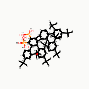 CC(C)(C)c1ccc(-c2ccc3c(c2-c2ccc(C(C)(C)C)cc2C(C)(C)C)-c2c(-c4ccc(C(C)(C)C)cc4C(C)(C)C)c(-c4ccc(C(C)(C)C)cc4C(C)(C)C)c(P(=O)(O)O)c(P(O)O)c2-3)c(C(C)(C)C)c1